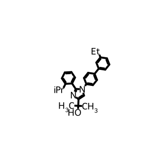 CCc1cccc(-c2ccc(-n3cc(C(C)(C)O)nc3-c3ccccc3C(C)C)cc2)c1